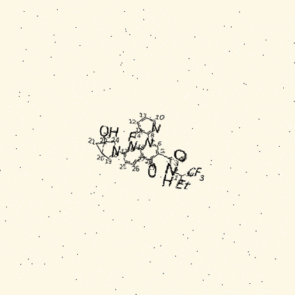 CCC(NC(=O)c1cn(-c2ncccc2F)c2nc(N3CC4CC4(O)C3)ccc2c1=O)C(F)(F)F